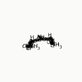 CN1Cc2c(Cl)cc(Cl)cc2C(c2cccc(S(=O)(=O)NCCOCCOCCOCCN(CCOCCOCCOCCNS(=O)(=O)c3cccc(C4CN(C)Cc5c(Cl)cc(Cl)cc54)c3)C(=O)CCC(N)=O)c2)C1